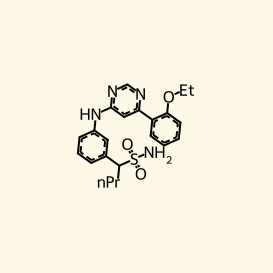 CCCC(c1cccc(Nc2cc(-c3ccccc3OCC)ncn2)c1)S(N)(=O)=O